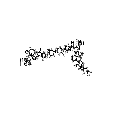 [2H]C([2H])([2H])Oc1ncc(-c2ccnc(N3CCn4c(cc5c4CC(C)(C)C5)C3=O)c2[C@H](C)O)cc1Nc1ccc(N2CCN(C3CCN(c4ccc5c(c4)C(=O)N([C@H]4CCC(=O)N(COP(=O)(O)O)C4=O)C5=O)CC3)C[C@@H]2C)cn1